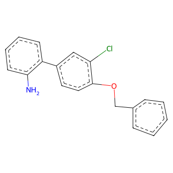 Nc1ccccc1-c1ccc(OCc2ccccc2)c(Cl)c1